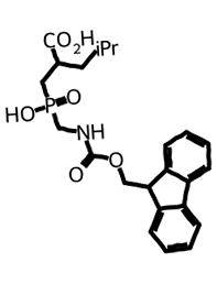 CC(C)CC(CP(=O)(O)CNC(=O)OCC1c2ccccc2-c2ccccc21)C(=O)O